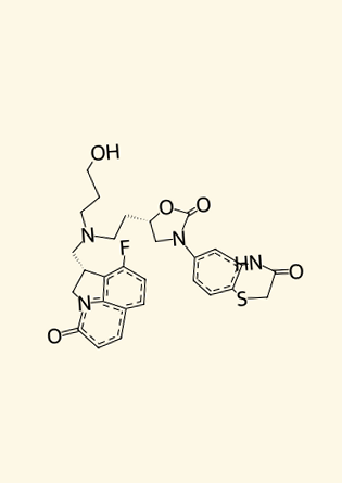 O=C1CSc2ccc(N3C[C@H](CCN(CCCO)C[C@H]4Cn5c(=O)ccc6ccc(F)c4c65)OC3=O)cc2N1